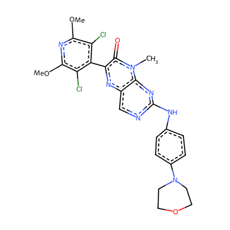 COc1nc(OC)c(Cl)c(-c2nc3cnc(Nc4ccc(N5CCOCC5)cc4)nc3n(C)c2=O)c1Cl